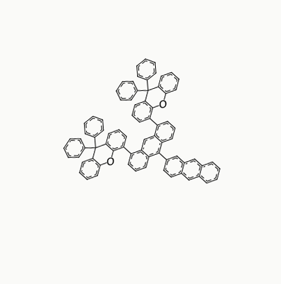 c1ccc(C2(c3ccccc3)c3ccccc3Oc3c(-c4cccc5c(-c6ccc7cc8ccccc8cc7c6)c6cccc(-c7cccc8c7Oc7ccccc7C8(c7ccccc7)c7ccccc7)c6cc45)cccc32)cc1